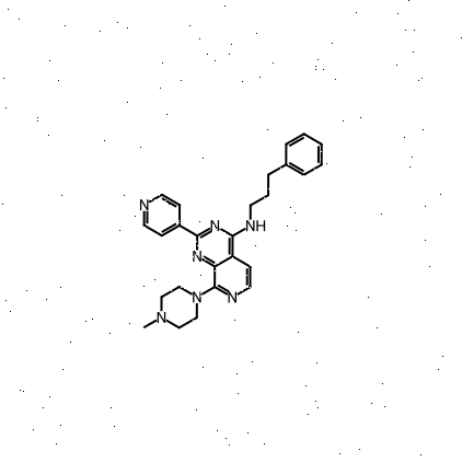 CN1CCN(c2nccc3c(NCCCc4ccccc4)nc(-c4ccncc4)nc23)CC1